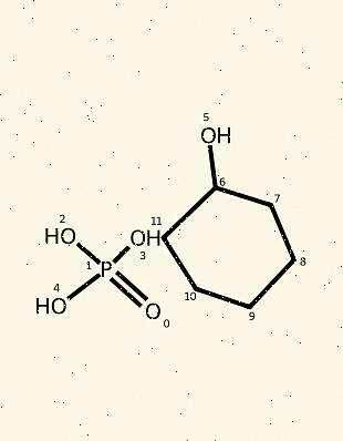 O=P(O)(O)O.OC1CCCCC1